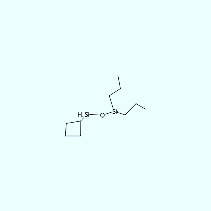 CCC[Si](CCC)O[SiH2]C1CCC1